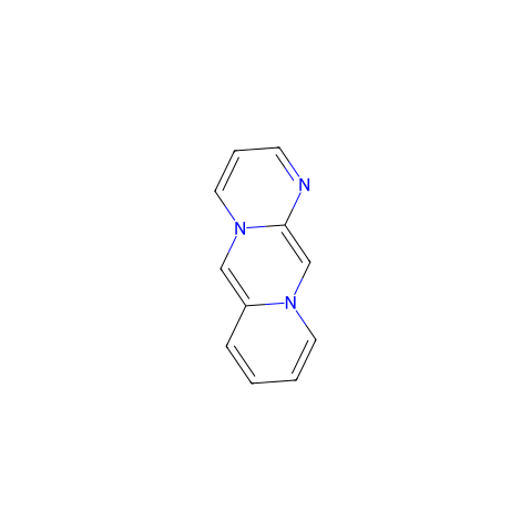 C1=CC2=CN3C=CC=NC3=CN2C=C1